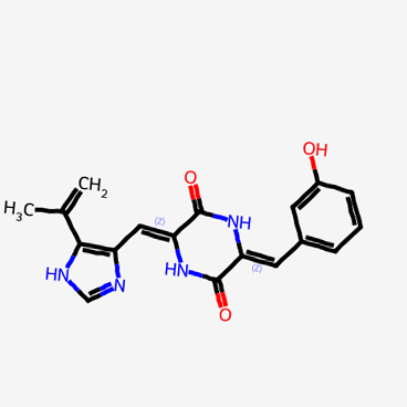 C=C(C)c1[nH]cnc1/C=c1\[nH]c(=O)/c(=C/c2cccc(O)c2)[nH]c1=O